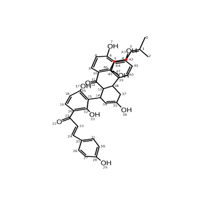 CC(C)=CCc1c(O)ccc(C(=O)C2C(c3c(O)ccc(C(=O)/C=C/c4ccc(O)cc4)c3O)C=C(O)CC2c2ccc(O)cc2)c1O